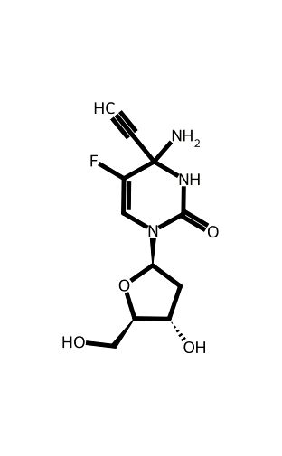 C#CC1(N)NC(=O)N([C@H]2C[C@H](O)[C@@H](CO)O2)C=C1F